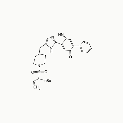 C=CC(CCCC)S(=O)(=O)N1CCC(Cc2cnc(C3=CC(=O)C(c4ccccc4)=CC3=N)[nH]2)CC1